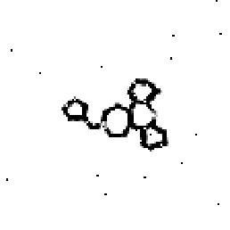 c1ccc2c(c1)Sc1ccccc1C1=C2CCN(CC2CCCC2)CC1